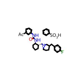 CC(=O)c1cccc(NC(=O)N[C@@H]2CCCC[C@H]2CN2CCCC(Cc3ccc(F)cc3)C2)c1.O=S(=O)(O)c1ccccc1